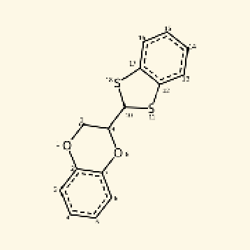 [CH]1Oc2ccccc2OC1C1Sc2ccccc2S1